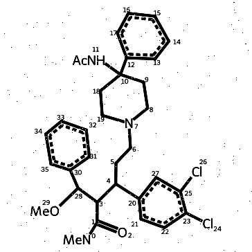 CNC(=O)C(C(CCN1CCC(NC(C)=O)(c2ccccc2)CC1)c1ccc(Cl)c(Cl)c1)C(OC)c1ccccc1